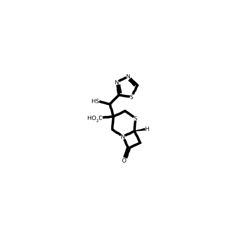 O=C1C[C@H]2SCC(C(=O)O)(C(S)c3nncs3)CN12